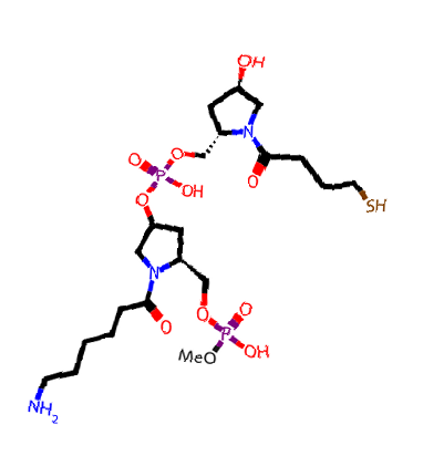 COP(=O)(O)OC[C@@H]1CC(OP(=O)(O)OC[C@@H]2C[C@@H](O)CN2C(=O)CCCS)CN1C(=O)CCCCCN